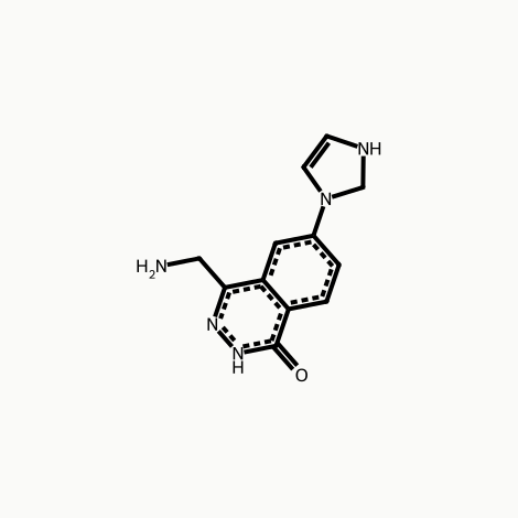 NCc1n[nH]c(=O)c2ccc(N3C=CNC3)cc12